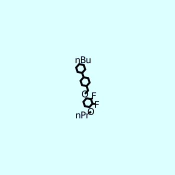 CCCCC1CCC(C2CCC(COC3CCC(OCCC)C(F)C3F)CC2)CC1